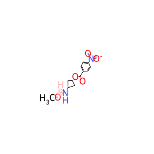 COBN[C@H]1C[C@H](OC(=O)c2ccc([N+](=O)[O-])cc2)C1